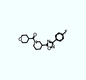 O=C(C1CCOCC1)N1CCCC(c2nc(-c3ccc(F)cc3)no2)C1